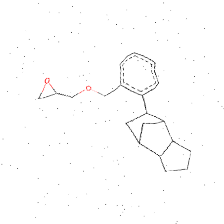 c1ccc(C2CC3CC2C2CCCC32)c(COCC2CO2)c1